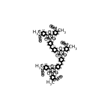 Cc1ccc(-n2c(=O)n(-c3ccc(Cc4ccc(-n5c(=O)n(-c6ccc(C)c(N=C=O)c6)c(=O)n(-c6ccc(C)c(N=C=O)c6)c5=O)cc4)cc3)c(=O)n(-c3ccc(Cc4ccc(-n5c(=O)n(-c6ccc(C)c(N=C=O)c6)c(=O)n(-c6ccc(C)c(N=C=O)c6)c5=O)cc4)cc3)c2=O)cc1N=C=O